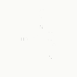 CC1(C)c2cc(O)ccc2N(Cc2ccc(OCCN3CCCCCC3)cc2)C1c1ccccc1